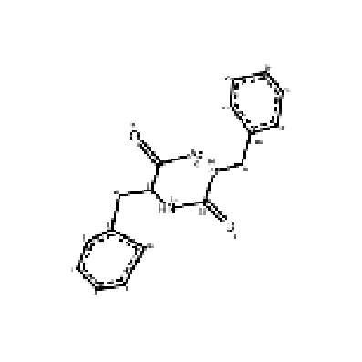 CC(=O)C(=O)C(Cc1ccccc1)NC(=O)OCc1ccccc1